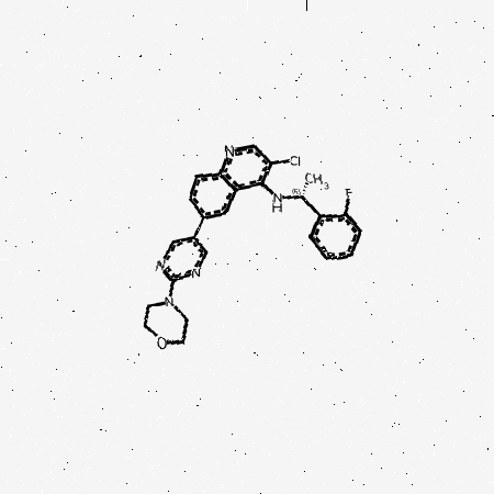 C[C@@H](Nc1c(Cl)cnc2ccc(-c3cnc(N4CCOCC4)nc3)cc12)c1ccccc1F